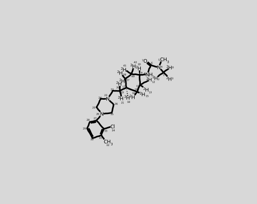 [2H]C([2H])([2H])N(C)C(=O)N[C@]1([2H])C([2H])([2H])C([2H])([2H])[C@@]([2H])(C([2H])([2H])CN2CCN(c3cccc(C)c3Cl)CC2)C([2H])([2H])C1([2H])[2H]